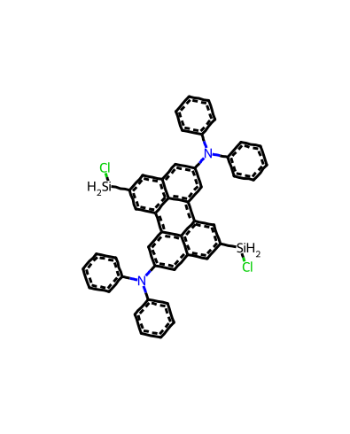 Cl[SiH2]c1cc2cc(N(c3ccccc3)c3ccccc3)cc3c4cc([SiH2]Cl)cc5cc(N(c6ccccc6)c6ccccc6)cc(c(c1)c23)c54